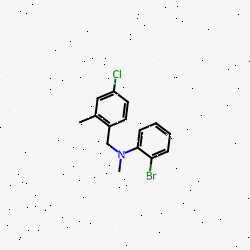 Cc1cc(Cl)ccc1CN(C)c1ccccc1Br